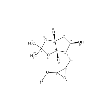 CCOC1OC1C[C@@H]1[C@@H]2OC(C)(C)O[C@@H]2C[C@H]1O